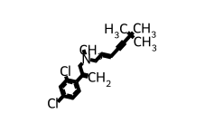 C=C(CN(C)CC=CC#CC(C)(C)C)c1ccc(Cl)cc1Cl